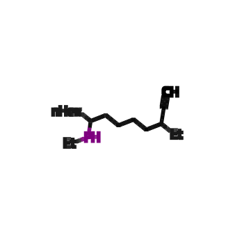 C#CC(CC)CCCCC(CCCCCC)PCC